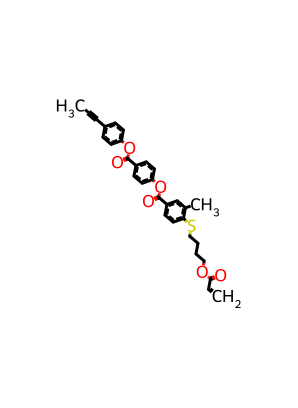 C=CC(=O)OCCCCSc1ccc(C(=O)Oc2ccc(C(=O)Oc3ccc(C#CC)cc3)cc2)cc1C